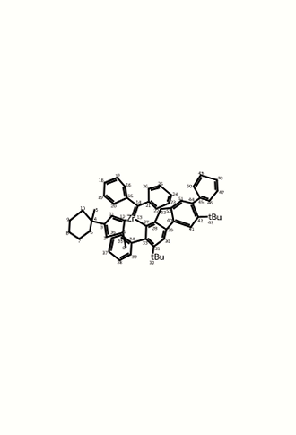 CC1C=C(C2(C)CCCCC2)C=[C]1[Zr](=[C](c1ccccc1)c1ccccc1)[c]1c2c(cc(C(C)(C)C)c1-c1ccccc1)-c1cc(C(C)(C)C)c(-c3ccccc3)cc1C2